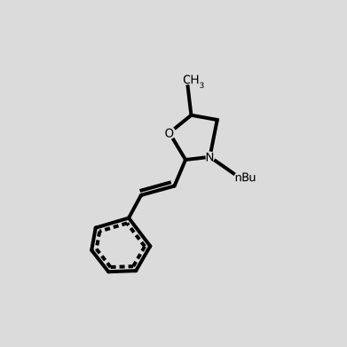 CCCCN1CC(C)OC1/C=C/c1ccccc1